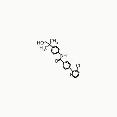 CC(C)(CO)c1ccc(NC(=O)c2ccc(-c3ncccc3Cl)cc2)cc1